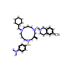 C=C1CN(Sc2ccc(N(C)C)cc2)CCCN(CC2CCCCC2)CCCN(SN2CCc3cc(C#N)ccc3C2)C1